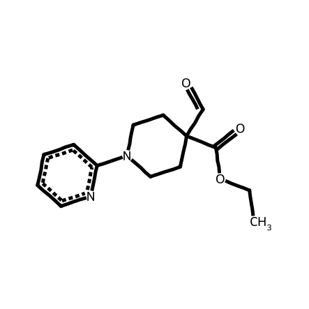 CCOC(=O)C1(C=O)CCN(c2ccccn2)CC1